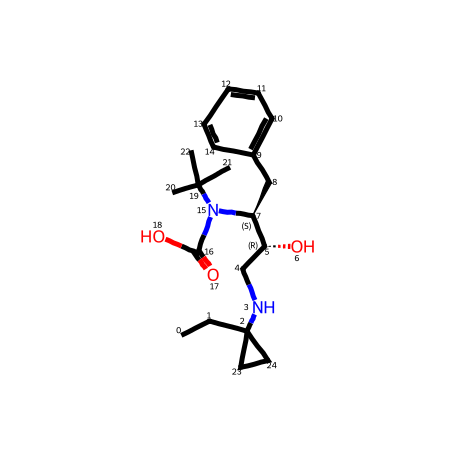 CCC1(NC[C@@H](O)[C@H](Cc2ccccc2)N(C(=O)O)C(C)(C)C)CC1